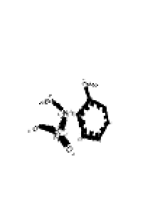 CCCCN[SH](=O)=O.COc1ccccc1